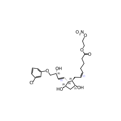 O=C(CCC/C=C\C[C@@H]1[C@@H](/C=C/[C@@H](O)COc2cccc(Cl)c2)[C@H](O)C[C@@H]1O)OCCO[N+](=O)[O-]